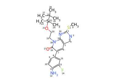 CSc1ncc2cc(-c3ccc(N)c(F)c3)c(=O)n(CCO[Si](C)(C)C(C)(C)C)c2n1